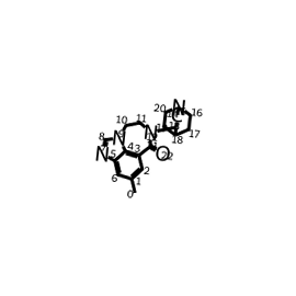 Cc1cc2c3c(c1)ncn3CCN(C1CN3CCC1CC3)C2=O